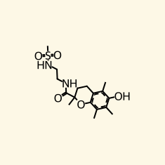 Cc1c(C)c2c(c(C)c1O)CCC(C)(C(=O)NCCNS(C)(=O)=O)O2